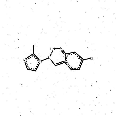 Cc1nccn1N1C=c2ccc(Cl)cc2=NN1